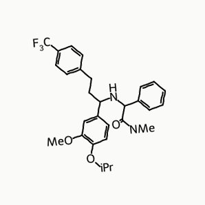 CNC(=O)C(NC(CCc1ccc(C(F)(F)F)cc1)c1ccc(OC(C)C)c(OC)c1)c1ccccc1